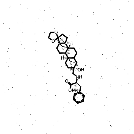 COC(=O)[C@@H](Cc1ccccc1)NC[C@@]1(O)CC[C@@]2(C)C(CC[C@@H]3[C@@H]2CC[C@]2(C)C4(CC[C@@]32N)OCCO4)C1